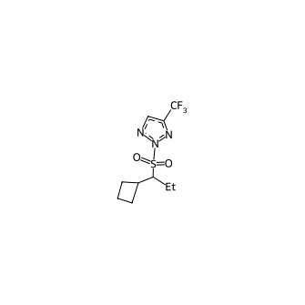 CCC(C1CCC1)S(=O)(=O)n1ncc(C(F)(F)F)n1